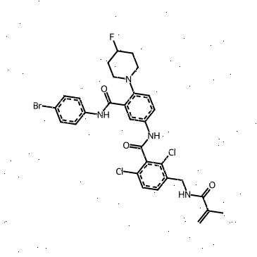 C=C(C)C(=O)NCc1ccc(Cl)c(C(=O)Nc2ccc(N3CCC(F)CC3)c(C(=O)Nc3ccc(Br)cc3)c2)c1Cl